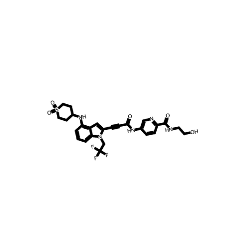 O=C(C#Cc1cc2c(NC3CCS(=O)(=O)CC3)cccc2n1CC(F)(F)F)Nc1ccc(C(=O)NCCO)nc1